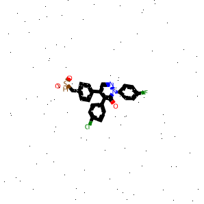 O=c1c(-c2ccc(Cl)cc2)c(-c2ccc(C[SH](=O)=O)cc2)cnn1-c1ccc(F)cc1